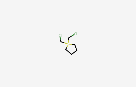 ClCS1(CCl)CCCC1